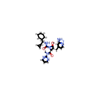 CN(C(=O)[C@@H]1[C@@H](Cc2ccnc(N)c2)C(=O)N1C(=O)N[C@@H](C1CCCCC1)C1CC1)c1ncccn1